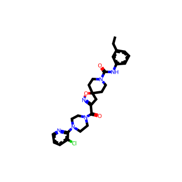 CCc1cccc(NC(=O)N2CCC3(CC2)CC(C(=O)N2CCN(c4ncccc4Cl)CC2)=NO3)c1